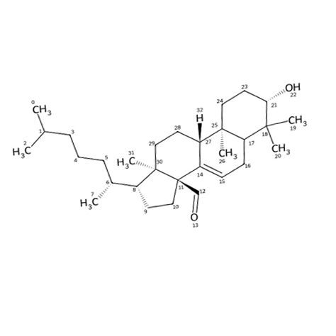 CC(C)CCC[C@@H](C)[C@H]1CC[C@@]2(C=O)C3=CCC4C(C)(C)[C@@H](O)CC[C@]4(C)[C@H]3CC[C@]12C